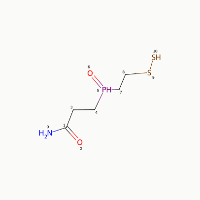 NC(=O)CC[PH](=O)CCSS